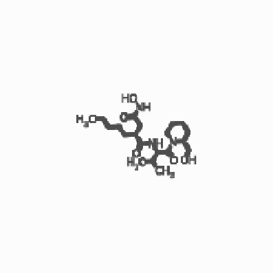 CCCCCC(CC(=O)NO)C(=O)NC(C(=O)N1CCCCC1CO)C(C)C